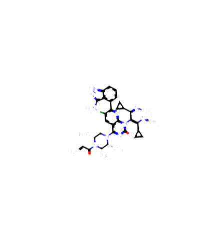 C=CC(=O)N1[C@H](C)CN(c2nc(=O)n(C(/C(=N\C)C3CC3)=C(/N=C)C3CC3)c3nc(-c4cccc5[nH]nc(N)c45)c(F)cc23)[C@@H](C)[C@@H]1C